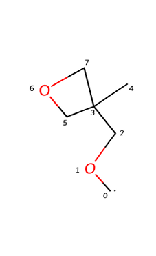 [CH2]OCC1(C)COC1